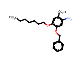 CCOC(=O)CCCCCCOc1cc(C(=O)OCC)c(N)cc1OCc1ccccc1